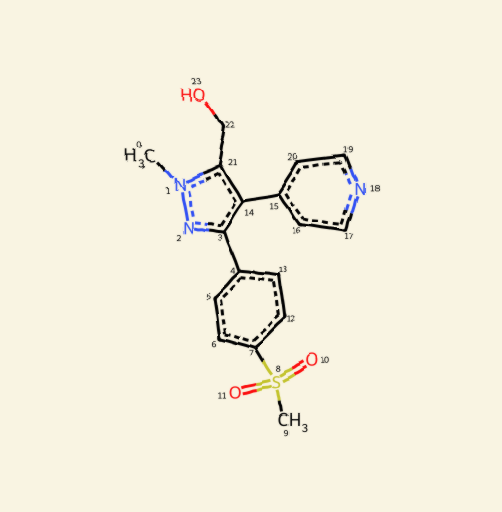 Cn1nc(-c2ccc(S(C)(=O)=O)cc2)c(-c2ccncc2)c1CO